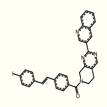 O=C(c1ccc(/C=C/c2ccc(I)cc2)cc1)N1CCc2cnc(-c3cnc4ccccc4c3)nc2C1